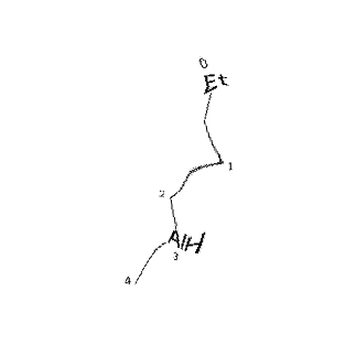 CCC[CH2][AlH][CH3]